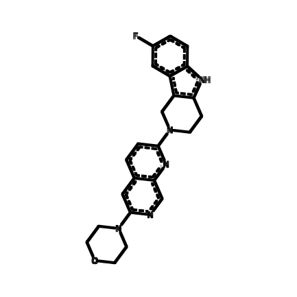 Fc1ccc2[nH]c3c(c2c1)CN(c1ccc2cc(N4CCOCC4)ncc2n1)CC3